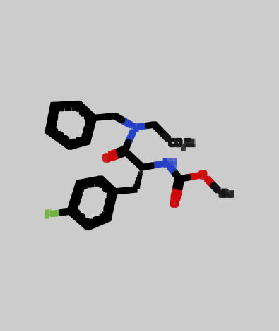 CCOC(=O)CN(Cc1ccccc1)C(=O)[C@@H](Cc1ccc(F)cc1)NC(=O)OC(C)(C)C